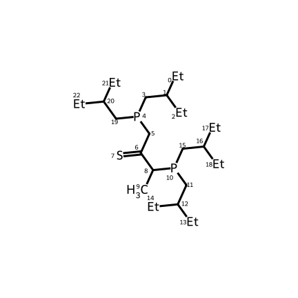 CCC(CC)CP(CC(=S)C(C)P(CC(CC)CC)CC(CC)CC)CC(CC)CC